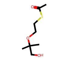 CC(=O)SCCOC(C)(C)CO